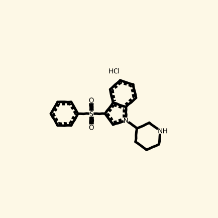 Cl.O=S(=O)(c1ccccc1)c1cn(C2CCCNC2)c2ccccc12